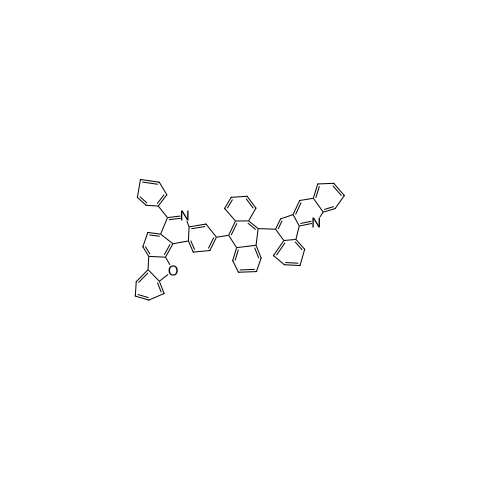 c1ccc(-c2nc3cc(-c4c5ccccc5c(-c5cc6cc7ccccc7nc6c6ccccc56)c5ccccc45)ccc3c3c2ccc2c4ccccc4oc23)cc1